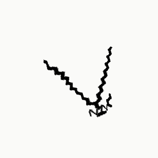 CCCCCCCCCCCCCCCCCC(CCCCCCCCCCCCCCC)c1nccn1C(C)CCC